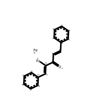 O=C(C=Cc1ccccc1)[C]([Pd])=Cc1ccccc1.[Pd]